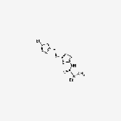 CCC1=CN=C(CSc2cnc(NC(=O)N(C)CC)s2)C1